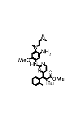 CCC(C)/C(C(=O)OC)=C(/c1ccnc(Nc2cc(N)c(N(C)CCN(C)C)cc2OC)n1)c1ccccc1C